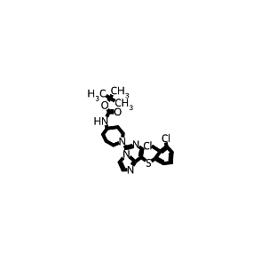 CC(C)(C)OC(=O)NC1CCCN(c2ncc(Sc3cccc(Cl)c3Cl)c3nccn23)CC1